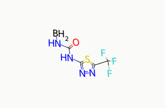 BNC(=O)Nc1nnc(C(F)(F)F)s1